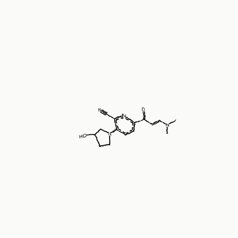 CN(C)C=CC(=O)c1ccc(N2CCC(O)C2)c(C#N)n1